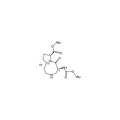 CC(C)(C)OC(=O)N[C@H]1CNCC[C@H]2CC[C@@H](C(=O)OC(C)(C)C)N2C1=O